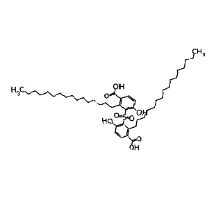 CCCCCCCCCCCCCCCCc1c(C(=O)O)ccc(O)c1S(=O)(=O)c1c(O)ccc(C(=O)O)c1CCCCCCCCCCCCCCCC